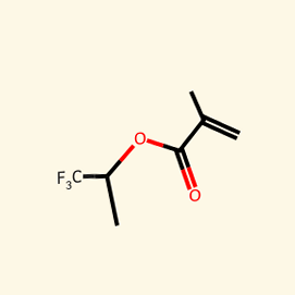 C=C(C)C(=O)OC(C)C(F)(F)F